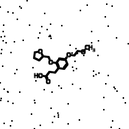 COCCOc1ccc(CCC(=O)O)c(OCC2CCCO2)c1